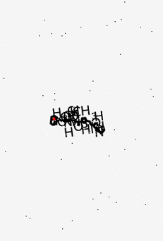 CC(C)OC(=O)[C@H](CNC(=O)c1ccc(CCC(=O)NC2=NCCCN2)s1)NC(=O)OCC12CC3CC(CC(C3)C1)C2